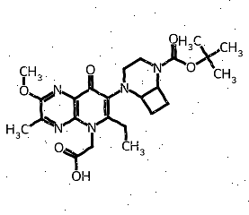 CCc1c(N2CCN(C(=O)OC(C)(C)C)C3CCC32)c(=O)c2nc(OC)c(C)nc2n1CC(=O)O